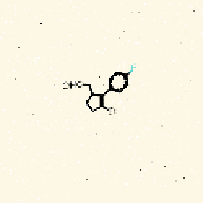 CCC1=C(c2ccc(F)cc2)C(CC=O)CC1